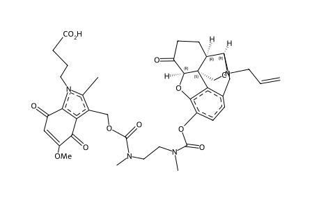 C=CCN1CC[C@]23c4c5ccc(OC(=O)N(C)CCN(C)C(=O)OCc6c7c(n(CCCC(=O)O)c6C)C(=O)C=C(OC)C7=O)c4O[C@H]2C(=O)CC[C@H]3[C@H]1C5